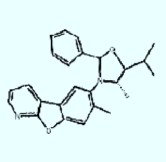 Cc1cc2oc3ncccc3c2cc1N1C(c2ccccc2)OC(C(C)C)[C@@H]1C